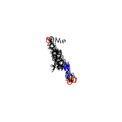 C=C(C)[C@@H]1CC[C@]2(c3ncn(CCN4CCS(=O)(=O)CC4)n3)CC[C@]3(C)[C@H](CC[C@@H]4[C@@]5(C)CC=C(c6ccc(C(=O)OC)cc6)C(C)(C)[C@@H]5CC[C@]43C)[C@@H]12